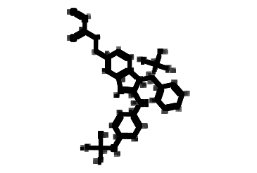 O=NC(=O)CCc1ccc2c(c1)nc(Nc1ccc(OC(F)(F)F)cc1)n2[C@@H](c1ccccc1)C(F)(F)F